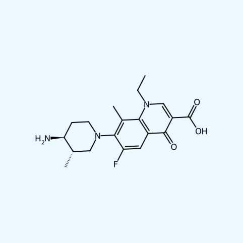 CCn1cc(C(=O)O)c(=O)c2cc(F)c(N3CC[C@H](N)[C@@H](C)C3)c(C)c21